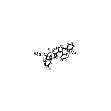 COc1ncnc(OC)c1-n1c(NS(=O)(=O)C(C)C(OC)c2ncc(C)cn2)nnc1-c1ccccn1